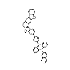 C1=Cc2ccc(-c3c4ccccc4c(-c4ccc(-c5ccc6c(c5)oc5ccc7cc8c9c(oc8cc7c56)CCC=C9)cc4)c4ccccc34)cc2CC1